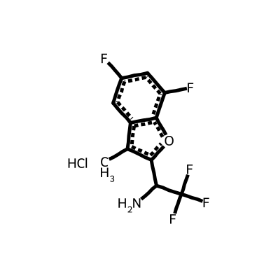 Cc1c(C(N)C(F)(F)F)oc2c(F)cc(F)cc12.Cl